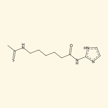 CC(=S)NCCCCCC(=O)Nc1ncc[nH]1